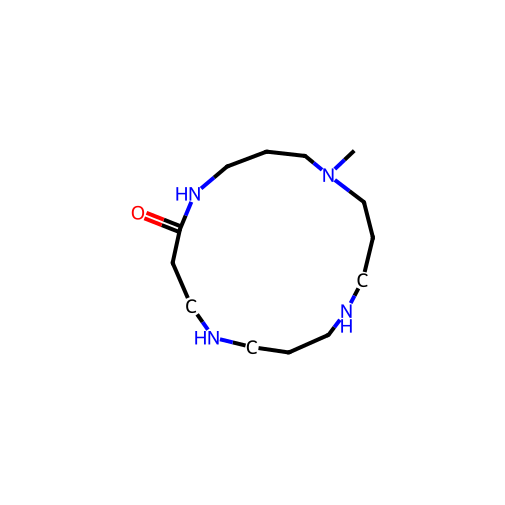 CN1CCCNCCCNCCC(=O)NCCC1